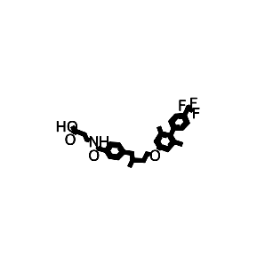 Cc1cc(OCCC(C)Cc2ccc(C(=O)NCCC(=O)O)cc2)cc(C)c1-c1ccc(C(F)(F)F)cc1